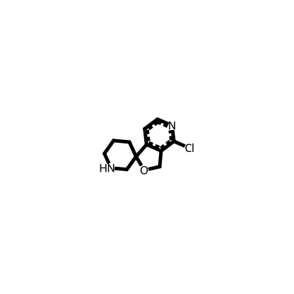 Clc1nccc2c1COC21CCCNC1